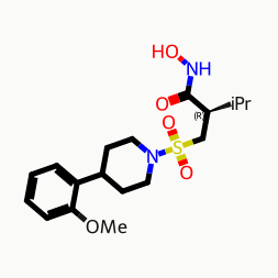 COc1ccccc1C1CCN(S(=O)(=O)C[C@@H](C(=O)NO)C(C)C)CC1